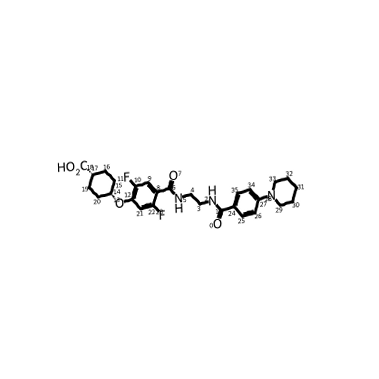 O=C(NCCNC(=O)c1cc(F)c(O[C@H]2CC[C@@H](C(=O)O)CC2)cc1F)c1ccc(N2CCCCC2)cc1